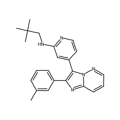 Cc1cccc(-c2nc3cccnn3c2-c2ccnc(NCC(C)(C)C)c2)c1